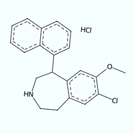 COc1cc2c(cc1Cl)CCNCC2c1cccc2ccccc12.Cl